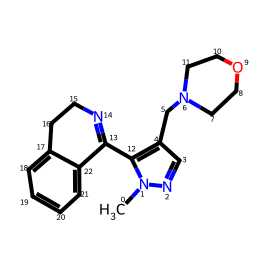 Cn1ncc(CN2CCOCC2)c1C1=NCCc2ccccc21